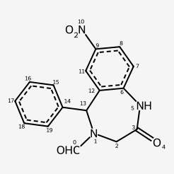 O=CN1CC(=O)Nc2ccc([N+](=O)[O-])cc2C1c1ccccc1